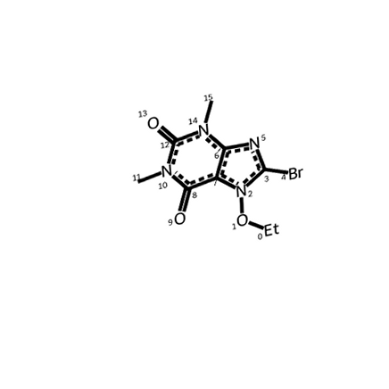 CCOn1c(Br)nc2c1c(=O)n(C)c(=O)n2C